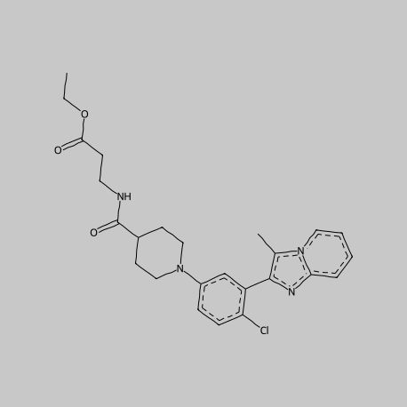 CCOC(=O)CCNC(=O)C1CCN(c2ccc(Cl)c(-c3nc4ccccn4c3C)c2)CC1